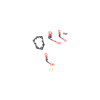 O=CO.O=CO.O=C[O-].S.[Na+].c1ccccc1